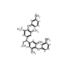 CCC(c1cc(C)c(Oc2cccc(N)c2)c(C)c1)c1cc(C)c(Oc2cccc(N)c2)c(C)c1